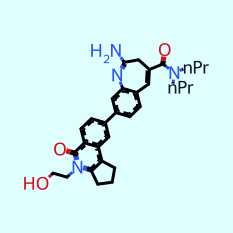 CCCN(CCC)C(=O)C1=Cc2ccc(-c3ccc4c(=O)n(CCO)c5c(c4c3)CCC5)cc2N=C(N)C1